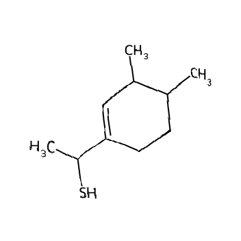 CC(S)C1=CC(C)C(C)CC1